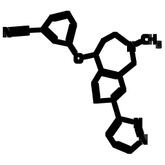 CN1CCC(Oc2cccc(C#N)c2)c2ccc(-c3cccnn3)cc2C1